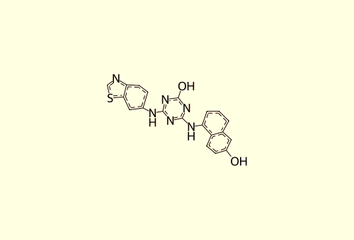 Oc1ccc2c(Nc3nc(O)nc(Nc4ccc5ncsc5c4)n3)cccc2c1